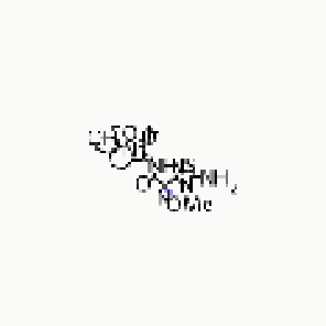 CO/N=C(/C(=O)N[C@@H]1C(=O)N2C(C(=O)O)=C(CO)CCC12)c1nsc(N)n1